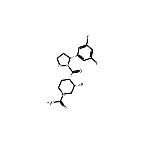 CC(=O)N1CC[C@H](C(=O)N2OCC[C@@H]2c2cc(F)cc(F)c2)[C@H](F)C1